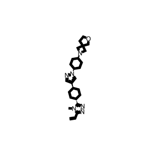 C=Cc1nnc([C@H]2CC[C@H](c3cnn([C@H]4CC[C@H](N5CC6(CCOC6)C5)CC4)c3)CC2)n1C